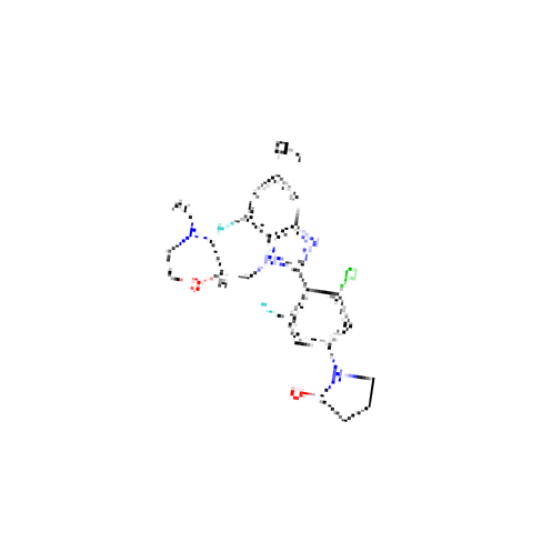 CC(=O)N1CCO[C@@H](Cn2c(-c3c(F)cc(N4CCCC4=O)cc3Cl)nc3cc(C)cc(F)c32)C1